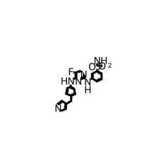 NS(=O)(=O)c1cccc(Nc2ncc(F)c(Nc3ccc(Cc4ccncc4)cc3)n2)c1